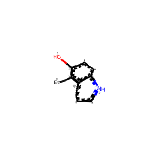 CCc1c(O)ccc2[nH]ccc12